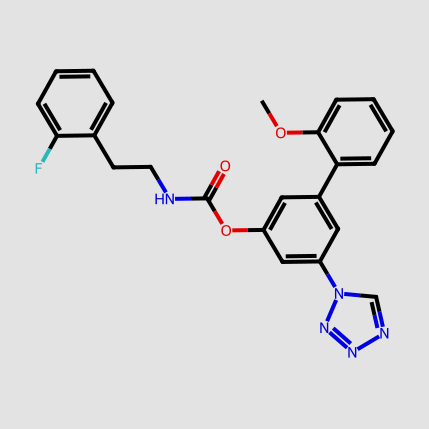 COc1ccccc1-c1cc(OC(=O)NCCc2ccccc2F)cc(-n2cnnn2)c1